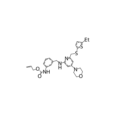 C=CCOC(=O)Nc1cccc(CNc2cc(N3CCOCC3)cc(CSc3ccc(CC)s3)n2)c1